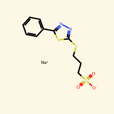 O=S(=O)([O-])CCCSc1nnc(-c2ccccc2)s1.[Na+]